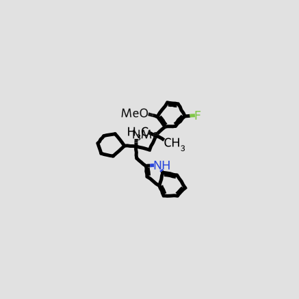 CNC(Cc1cc2ccccc2[nH]1)(CC(C)(C)c1cc(F)ccc1OC)C1CCCCC1